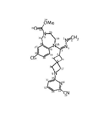 C=N/N=C(/C1CC2(C1)CN(c1cccc(C#N)n1)C2)N1CCN(C(=O)OC)Cc2cc(Cl)ccc21